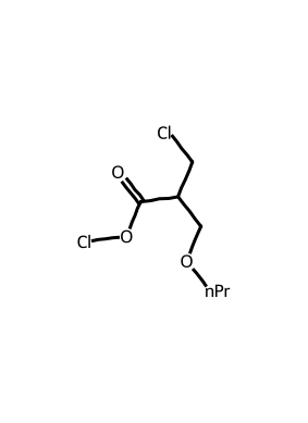 CCCOCC(CCl)C(=O)OCl